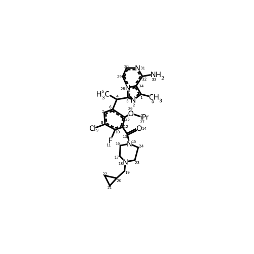 Cc1nc(C(C)c2cc(Cl)c(F)c(C(=O)N3CCN(CC4CC4)CC3)c2OC(C)C)n2ccnc(N)c12